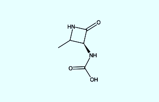 CC1NC(=O)[C@H]1NC(=O)O